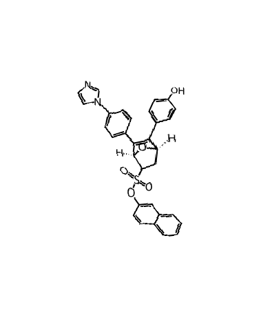 O=S(=O)(Oc1ccc2ccccc2c1)C1C[C@H]2O[C@@H]1C(c1ccc(-n3ccnc3)cc1)=C2c1ccc(O)cc1